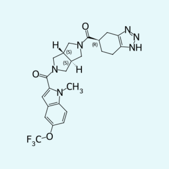 Cn1c(C(=O)N2C[C@@H]3CN(C(=O)[C@@H]4CCc5[nH]nnc5C4)C[C@H]3C2)cc2cc(OC(F)(F)F)ccc21